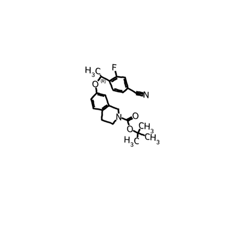 C[C@@H](Oc1ccc2c(c1)CN(C(=O)OC(C)(C)C)CC2)c1ccc(C#N)cc1F